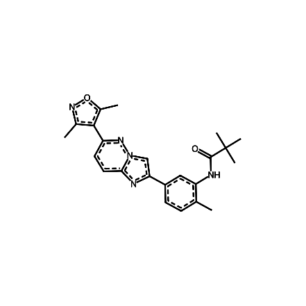 Cc1ccc(-c2cn3nc(-c4c(C)noc4C)ccc3n2)cc1NC(=O)C(C)(C)C